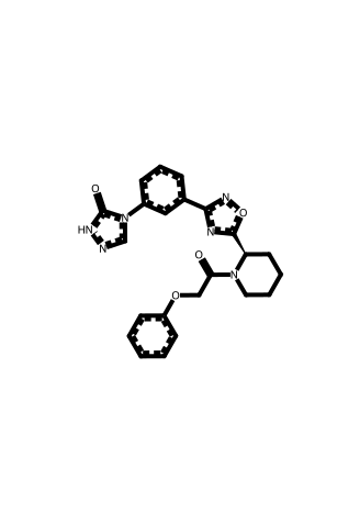 O=C(COc1ccccc1)N1CCCC[C@@H]1c1nc(-c2cccc(-n3cn[nH]c3=O)c2)no1